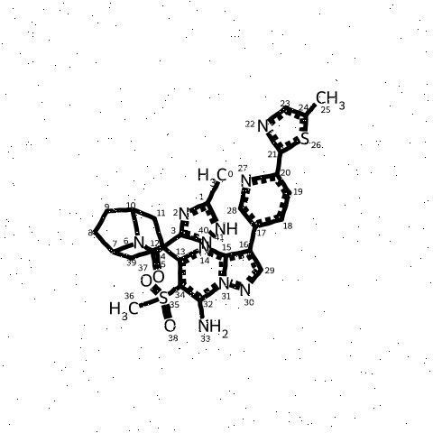 Cc1nc(C(=O)N2C3CCC2CC(c2nc4c(-c5ccc(-c6ncc(C)s6)nc5)cnn4c(N)c2S(C)(=O)=O)C3)n[nH]1